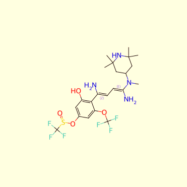 CN(/C(N)=C/C=C(\N)c1c(O)cc(OS(=O)C(F)(F)F)cc1OC(F)(F)F)C1CC(C)(C)NC(C)(C)C1